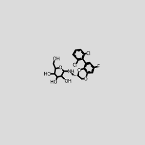 OCC1OC(NC[C@H]2COc3cc(F)cc(-c4c(Cl)cccc4Cl)c3O2)C(O)C(O)C1O